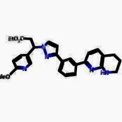 CCOC(=O)CC(c1ccc(OC)nc1)n1ccc(-c2cccc(-c3ccc4c(n3)NCCC4)c2)n1